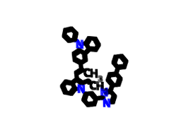 C=Cc1c(/C=C(\C)c2ccc3c(c2)c2ccccc2n3-c2ccccc2)c2ccccc2n1-c1cccc(-c2nccc(-c3ccc(-c4ccccc4)cc3)n2)c1